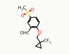 CS(=O)(=O)c1ccc(OCC2(C(F)(F)F)CC2)c(C=O)c1